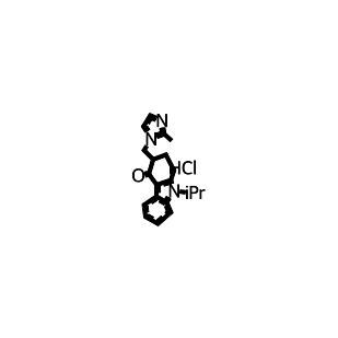 Cc1nccn1CC1CCc2c(c3ccccc3n2C(C)C)C1=O.Cl